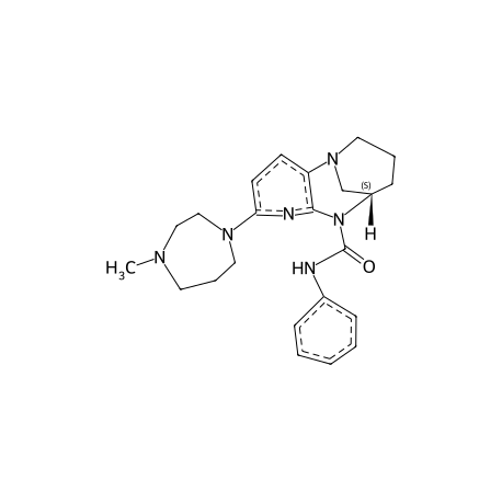 CN1CCCN(c2ccc3c(n2)N(C(=O)Nc2ccccc2)[C@H]2CCCN3C2)CC1